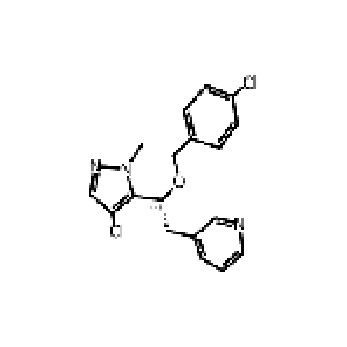 Cn1ncc(Cl)c1[C@@H](Cc1cccnc1)OCc1ccc(Cl)cc1